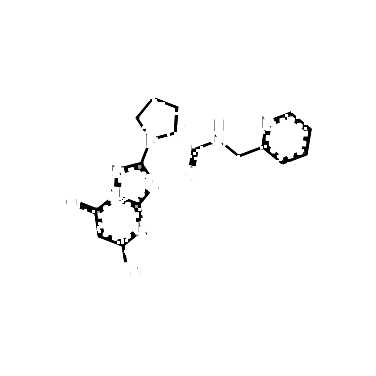 CC(C)c1cc(=O)n2nc(N3CCC[C@@H]3C(=O)NCc3ccccn3)sc2n1